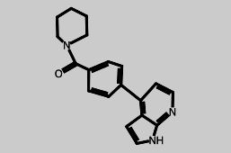 O=C(c1ccc(-c2ccnc3[nH]ccc23)cc1)N1CCCCC1